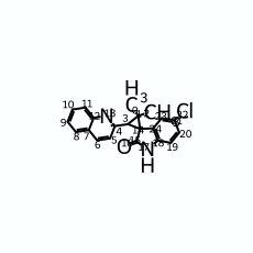 CC1(C)C(c2ccc3ccccc3n2)C12C(=O)Nc1ccc(Cl)cc12